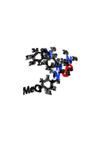 COc1ccc(CN2C[C@]3(CC[C@@](c4ccccc4)(N(C)C)CC3)N(CC(=O)N(C)C)C2=O)cc1